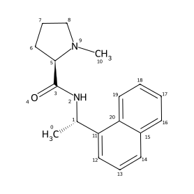 C[C@H](NC(=O)[C@H]1CCCN1C)c1cccc2ccccc12